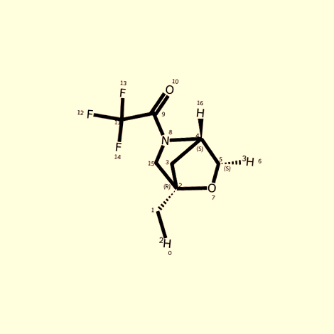 [2H]C[C@]12C[C@@H]([C@H]([3H])O1)N(C(=O)C(F)(F)F)C2